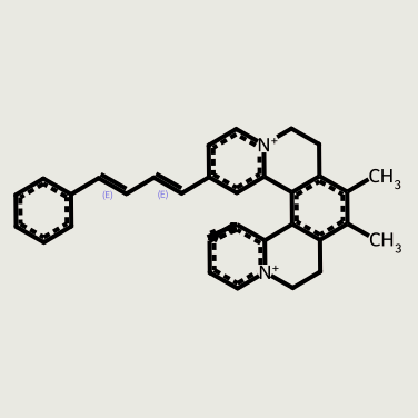 Cc1c(C)c2c(c3c1CC[n+]1ccc(/C=C/C=C/c4ccccc4)cc1-3)-c1c3ccccc3cc[n+]1CC2